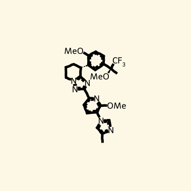 COc1ccc([C@](C)(OC)C(F)(F)F)cc1[C@H]1CCCn2nc(-c3ccc(-n4cnc(C)c4)c(OC)n3)nc21